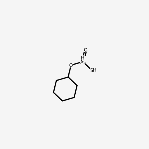 O=[AsH](S)OC1CCCCC1